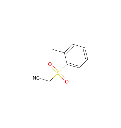 Cc1ccccc1S(=O)(=O)CC#N